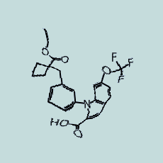 CCOC(=O)C1(Cc2cccc(-n3c(C(=O)O)cc4ccc(OC(F)(F)F)cc43)c2)CCC1